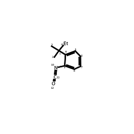 CCC(C)(C)c1ccccc1N=C=O